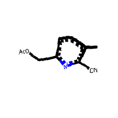 CC(=O)OCc1ccc(C)c(C#N)n1